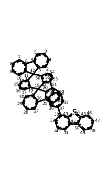 c1ccc2c(c1)-c1ccccc1C21c2ccccc2C2(c3ccccc3-c3ccccc32)c2c(-c3ccc(-c4cccc5c4sc4ccccc45)cc3)cccc21